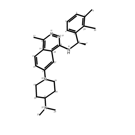 Cc1cccc([C@@H](C)Nc2nnc(C)c3ccc(N4CCC(N(C)C)CC4)cc23)c1C